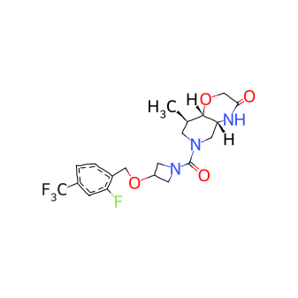 C[C@@H]1CN(C(=O)N2CC(OCc3ccc(C(F)(F)F)cc3F)C2)C[C@H]2NC(=O)CO[C@@H]12